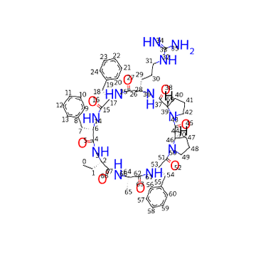 CC[C@@H]1NC(=O)[C@H](Cc2ccccc2)NC(=O)[C@H](Cc2ccccc2)NC(=O)[C@H](CCCNC(=N)N)NC(=O)[C@@H]2CCCN2C(=O)[C@H]2CCCN2C(=O)[C@H](Cc2ccccc2)NC(=O)[C@H](C)NC1=O